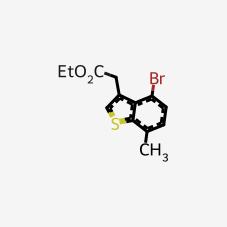 CCOC(=O)Cc1csc2c(C)ccc(Br)c12